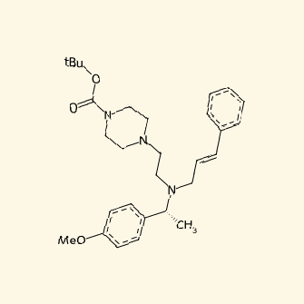 COc1ccc([C@@H](C)N(CC=Cc2ccccc2)CCN2CCN(C(=O)OC(C)(C)C)CC2)cc1